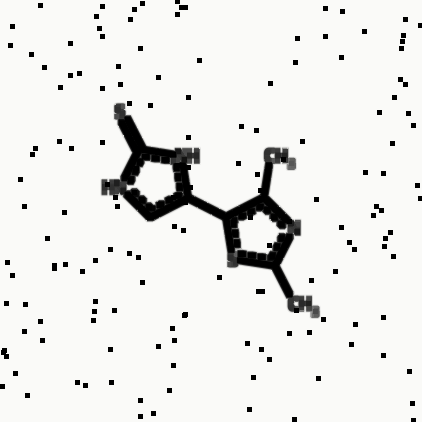 Cc1nc(C)c(-c2c[nH]c(=S)[nH]2)s1